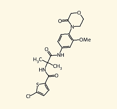 COc1cc(NC(=O)C(C)(C)NC(=O)c2ccc(Cl)s2)ccc1N1CCOCC1=O